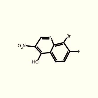 O=[N+]([O-])c1cnc2c(Br)c(F)ccc2c1O